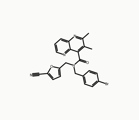 Cc1nc2cccnc2c(C(=O)N(Cc2ccc(Br)cc2)Cc2ccc(C#N)o2)c1C